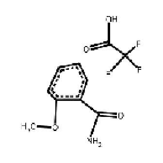 COc1ccccc1C(N)=O.O=C(O)C(F)(F)F